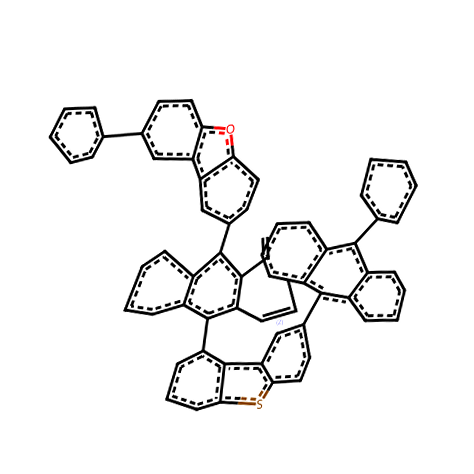 C=Cc1c(/C=C\C)c(-c2cccc3sc4ccc(-c5c6ccccc6c(-c6ccccc6)c6ccccc56)cc4c23)c2ccccc2c1-c1ccc2oc3ccc(-c4ccccc4)cc3c2c1